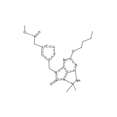 CCCCOc1nc2c3c(n1)n(Cc1cccc(CC(=O)OC)c1)c(=O)n3C(C)(C)N2